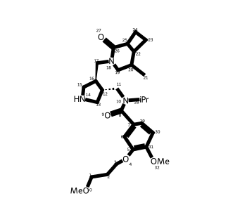 COCCCOc1cc(C(=O)N(C[C@@H]2CNC[C@H]2CN2CC(C)C3CCC3C2=O)C(C)C)ccc1OC